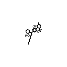 CCCCCC(O)C=C(c1cc(O)c2c(c1)OC(C)(C)C1CC=C(C)CC21)C1CCCCC1